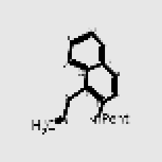 C=CCc1c(CCCCC)ccc2ccccc12